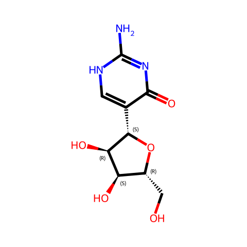 Nc1nc(=O)c([C@@H]2O[C@H](CO)[C@@H](O)[C@H]2O)c[nH]1